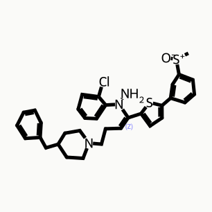 C[S+]([O-])c1cccc(-c2ccc(/C(=C/CCN3CCC(Cc4ccccc4)CC3)N(N)c3ccccc3Cl)s2)c1